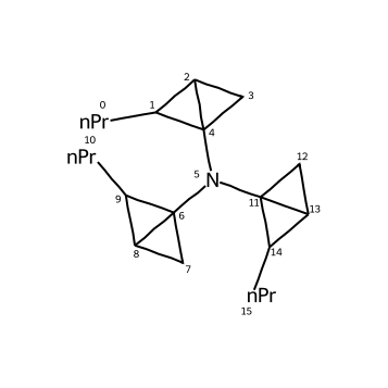 CCCC1C2CC12N(C12CC1C2CCC)C12CC1C2CCC